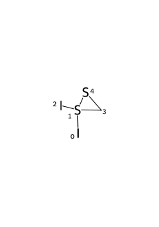 IS1(I)CS1